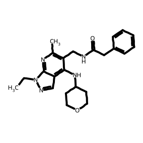 CCn1ncc2c(NC3CCOCC3)c(CNC(=O)Cc3ccccc3)c(C)nc21